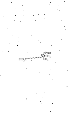 CCCCCc1oc(CCCCCCCCCCC(=O)OCC)c(C)c1C